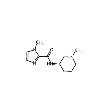 CN1CCC[C@@H](NC(=O)c2nccn2C)C1